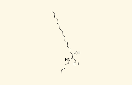 CCCCCCCCCCCCCCCC(O)C(CO)NCCCCC